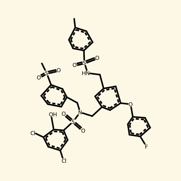 Cc1ccc(S(=O)(=O)NCc2cc(CN(Cc3cccc(S(C)(=O)=O)c3)S(=O)(=O)c3cc(Cl)cc(Cl)c3O)cc(Oc3ccc(F)cc3)c2)cc1